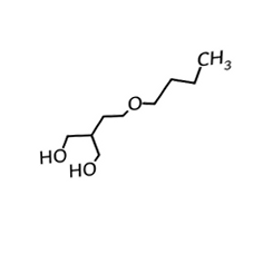 CCCCOCCC(CO)CO